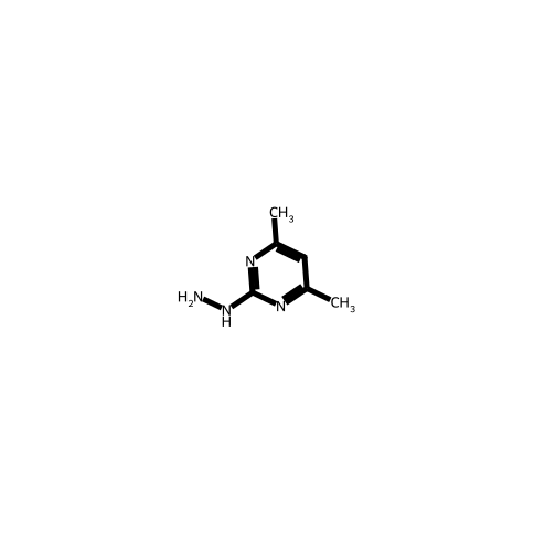 Cc1cc(C)nc(NN)n1